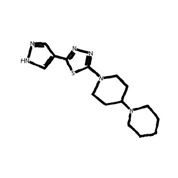 c1n[nH]cc1-c1nnc(N2CCC(N3CCCCC3)CC2)s1